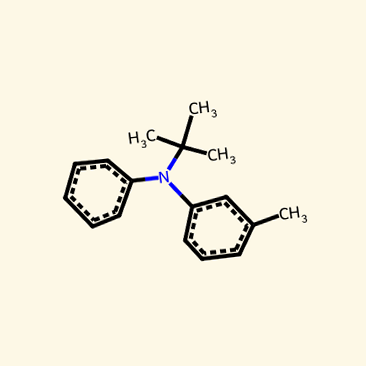 Cc1cccc(N(c2ccccc2)C(C)(C)C)c1